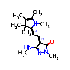 CNC1=NN(C)C(=O)/C1=C/C=C1\N(C)C(C)=C(C)C1(C)C